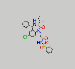 CC[C@H](C)[C@H]1NC(c2ccccc2)c2cc(Cl)ccc2N(CCC(=O)NS(=O)(=O)c2ccccc2)C1=O